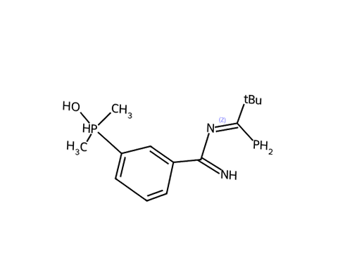 CC(C)(C)/C(P)=N/C(=N)c1cccc([PH](C)(C)O)c1